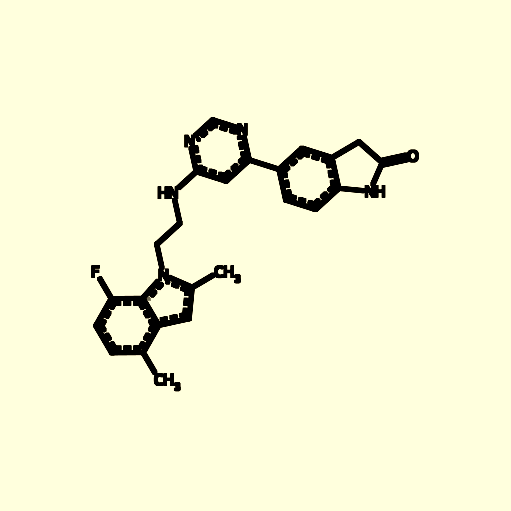 Cc1ccc(F)c2c1cc(C)n2CCNc1cc(-c2ccc3c(c2)CC(=O)N3)ncn1